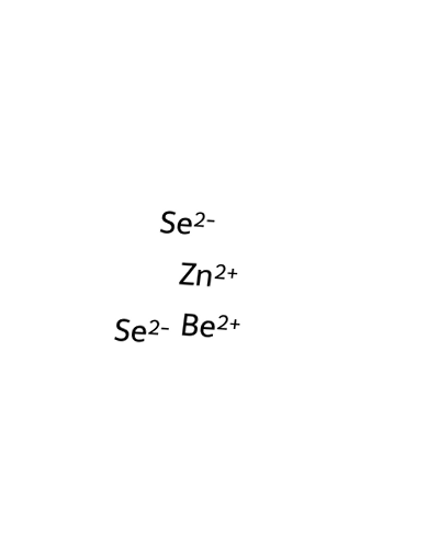 [Be+2].[Se-2].[Se-2].[Zn+2]